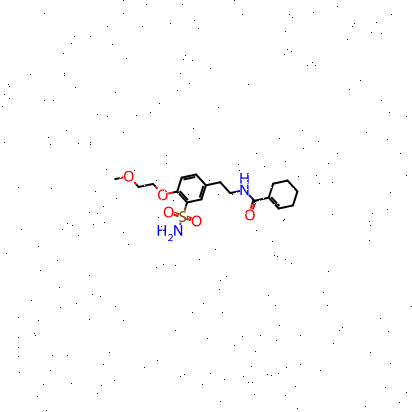 COCCOc1ccc(CCNC(=O)C2=CCCCC2)cc1S(N)(=O)=O